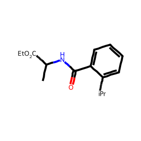 CCOC(=O)C(C)NC(=O)c1ccccc1C(C)C